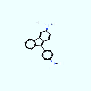 CN(C)c1ccc(C2=C3C=CC(=[N+](C)C)C=C3c3ccccc32)cc1